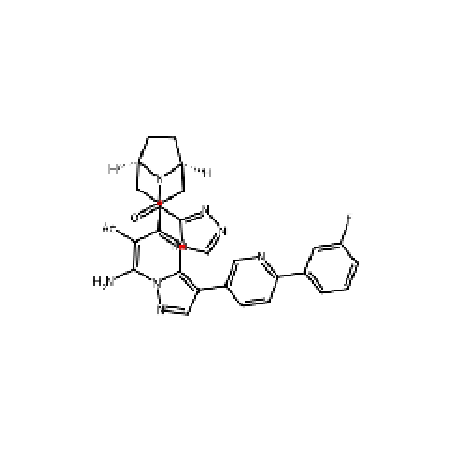 CC(=O)c1c([C@H]2C[C@H]3CC[C@@H](C2)N3C(=O)c2nnc[nH]2)nc2c(-c3ccc(-c4cccc(F)c4)nc3)cnn2c1N